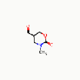 CN1CC(C=O)COC1=O